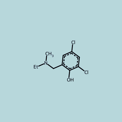 CCN(C)Cc1cc(Cl)cc(Cl)c1O